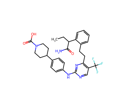 CCC(C(N)=O)c1ccccc1CCc1nc(Nc2ccc(C3CCN(C(=O)O)CC3)cc2)ncc1C(F)(F)F